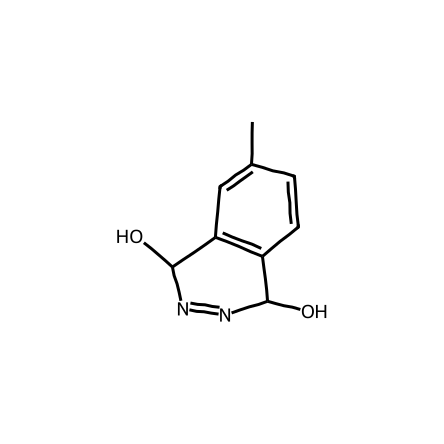 Cc1ccc2c(c1)C(O)N=NC2O